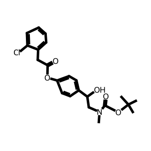 CN(CC(O)c1ccc(OC(=O)Cc2ccccc2Cl)cc1)C(=O)OC(C)(C)C